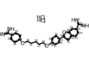 Cl.Cl.N=C(N)c1ccc(OCCCCCOc2ccc(-c3cc4ccc(C(=N)N)cc4o3)cc2)cc1